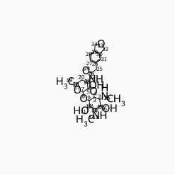 CNC1C2OC3(O)C(OC2[C@@H](O)[C@H](NC)[C@@H]1O)O[C@H](C)C[C@H]3NC(=O)Cc1ccc2c(c1)COC2